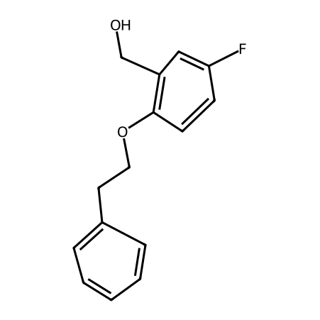 OCc1cc(F)ccc1OCCc1ccccc1